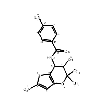 CC1(C)Oc2cc([N+](=O)[O-])sc2C(NC(=O)c2ccc([N+](=O)[O-])cc2)C1O